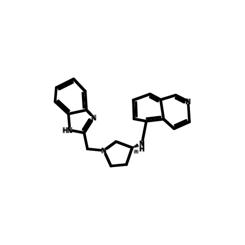 c1cc(N[C@@H]2CCN(Cc3nc4ccccc4[nH]3)C2)c2ccncc2c1